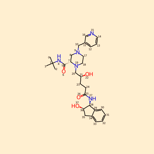 CC(C)(C)NC(=O)[C@@H]1CN(Cc2cccnc2)CCN1C[C@@H](O)CCC(=O)N[C@H]1c2ccccc2C[C@H]1O